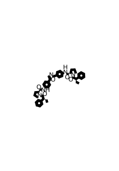 CC[C@@H](C(=O)N1CCC[C@H]1C(=O)Nc1ccc(-c2cnc(-c3ccc(NC(=O)[C@@H]4CCCN4C(=O)[C@H](CC)c4ccccc4)cc3)o2)cc1)c1ccccc1